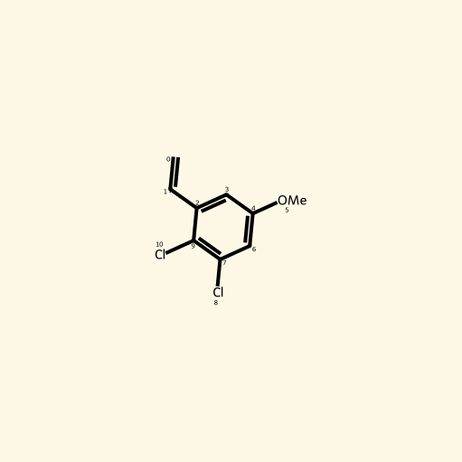 C=[C]c1cc(OC)cc(Cl)c1Cl